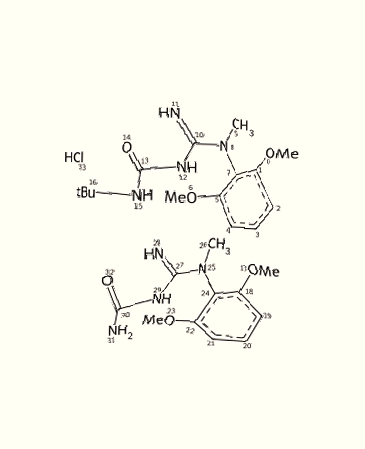 COc1cccc(OC)c1N(C)C(=N)NC(=O)NC(C)(C)C.COc1cccc(OC)c1N(C)C(=N)NC(N)=O.Cl